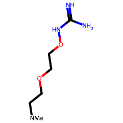 CNCCOCCONC(=N)N